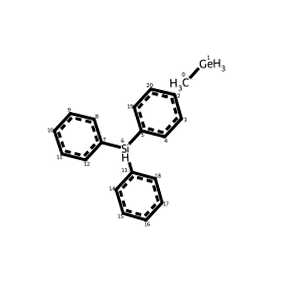 [CH3][GeH3].c1ccc([SiH](c2ccccc2)c2ccccc2)cc1